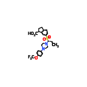 C=CC(N1CCN(c2ccc(OC(F)(F)F)cc2)CC1)S(=O)(=O)c1ccc2c(c1)C(C(=O)O)CC2